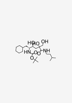 CC(C)CCNC(=O)C(O)(CO)C[C@H](O)[C@H](CC1CCCCC1)NC(=O)OC(C)(C)C